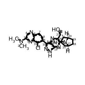 CN(C)c1cnc2ccc(-c3n[nH]c4nc(N5[C@H]6CC[C@@H]5[C@@H](F)[C@@H](N)C6)c(CO)nc34)c(Cl)c2n1